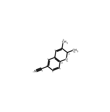 CC1=Cc2cc(C#N)ccc2OC1C